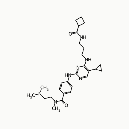 CN(C)CCN(C)C(=O)c1ccc(Nc2ncc(C3CC3)c(NCCCNC(=O)C3CCC3)n2)cc1